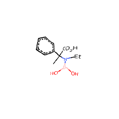 CCN(B(O)O)C(C)(C(=O)O)c1ccccc1